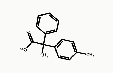 Cc1ccc(C(C)(C(=O)O)c2ccccc2)cc1